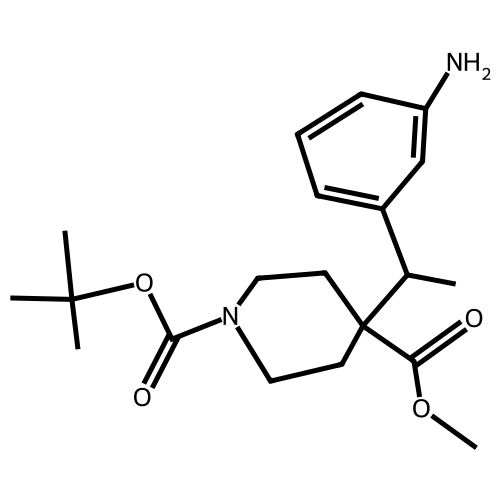 COC(=O)C1(C(C)c2cccc(N)c2)CCN(C(=O)OC(C)(C)C)CC1